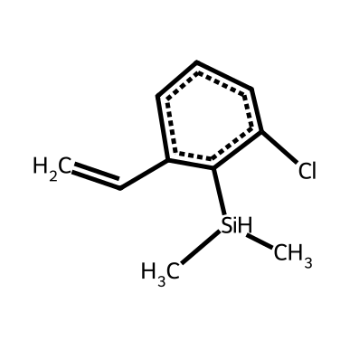 C=Cc1cccc(Cl)c1[SiH](C)C